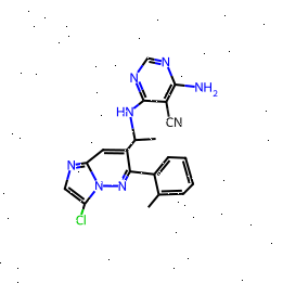 Cc1ccccc1-c1nn2c(Cl)cnc2cc1C(C)Nc1ncnc(N)c1C#N